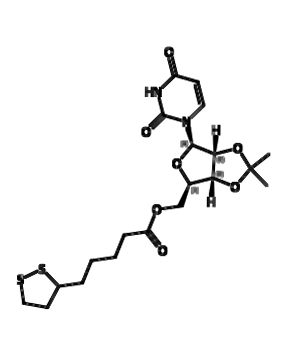 CC1(C)O[C@@H]2[C@H](O1)[C@@H](COC(=O)CCCCC1CCSS1)O[C@H]2n1ccc(=O)[nH]c1=O